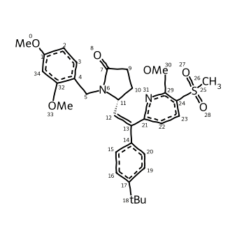 COc1ccc(CN2C(=O)CC[C@@H]2C=C(c2ccc(C(C)(C)C)cc2)c2ccc(S(C)(=O)=O)c(OC)n2)c(OC)c1